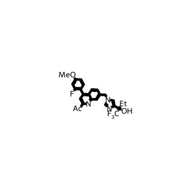 CCC(O)(c1cn(Cc2ccc3c(-c4ccc(OC)cc4F)cc(C(C)=O)nc3c2)cn1)C(F)(F)F